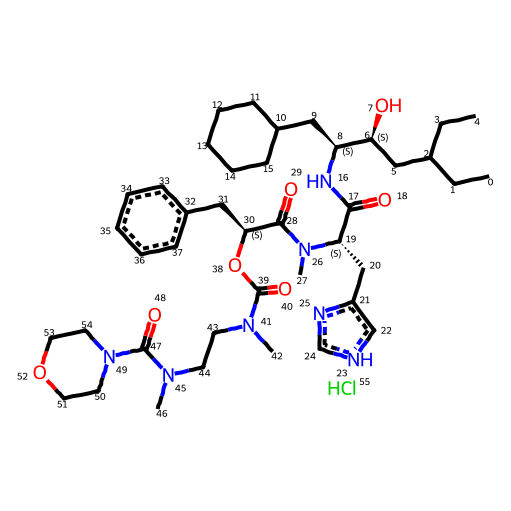 CCC(CC)C[C@H](O)[C@H](CC1CCCCC1)NC(=O)[C@H](Cc1c[nH]cn1)N(C)C(=O)[C@H](Cc1ccccc1)OC(=O)N(C)CCN(C)C(=O)N1CCOCC1.Cl